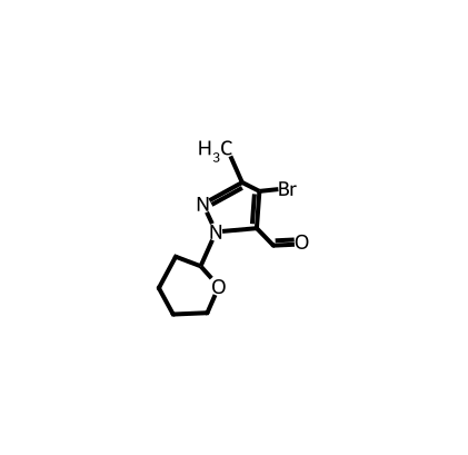 Cc1nn(C2CCCCO2)c(C=O)c1Br